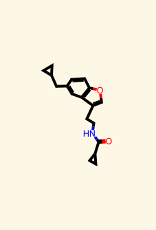 O=C(NCCc1coc2ccc(CC3CC3)cc12)C1CC1